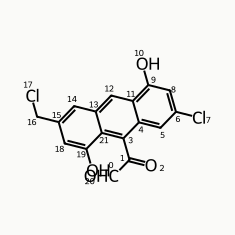 O=CC(=O)c1c2cc(Cl)cc(O)c2cc2cc(CCl)cc(O)c12